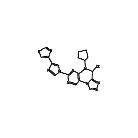 CCC1c2nncn2-c2cnc(-n3cnc(-c4cscn4)c3)nc2N1C1CCCC1